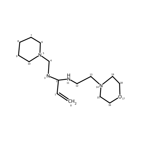 C=CC([N]CN1CCCCC1)NCCN1CCOCC1